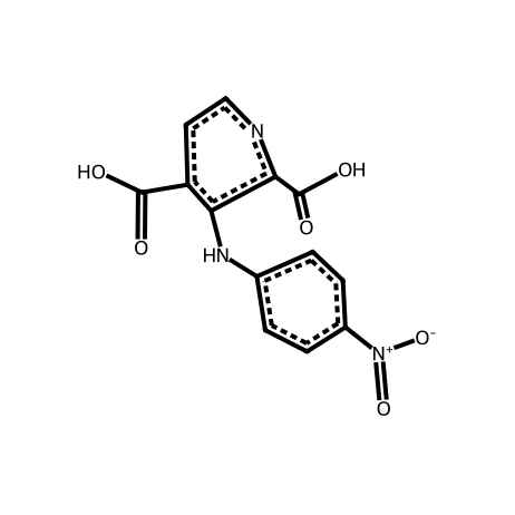 O=C(O)c1ccnc(C(=O)O)c1Nc1ccc([N+](=O)[O-])cc1